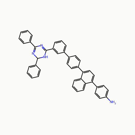 Nc1ccc(-c2ccc(-c3ccc(-c4cccc(C5=NC(c6ccccc6)=NC(c6ccccc6)N5)c4)cc3)c3ccccc23)cc1